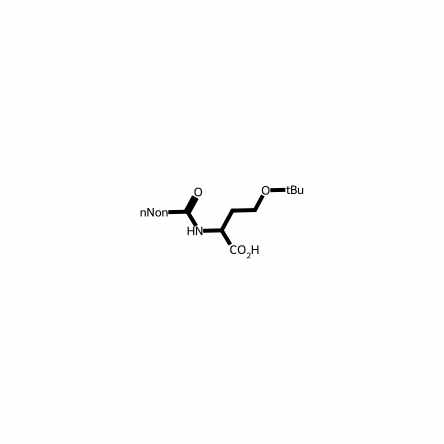 CCCCCCCCCC(=O)NC(CCOC(C)(C)C)C(=O)O